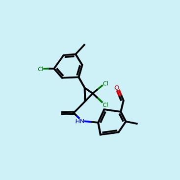 C=C(Nc1ccc(C)c(C=O)c1)C1C(c2cc(C)cc(Cl)c2)C1(Cl)Cl